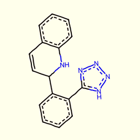 C1=CC(c2ccccc2-c2nnn[nH]2)Nc2ccccc21